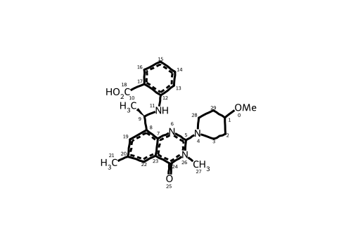 COC1CCN(c2nc3c([C@@H](C)Nc4ccccc4C(=O)O)cc(C)cc3c(=O)n2C)CC1